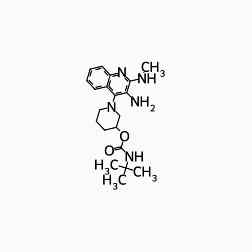 CNc1nc2ccccc2c(N2CCCC(OC(=O)NC(C)(C)C)C2)c1N